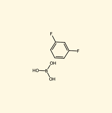 Fc1cccc(F)c1.OB(O)O